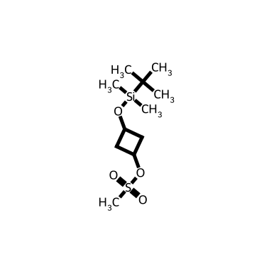 CC(C)(C)[Si](C)(C)OC1CC(OS(C)(=O)=O)C1